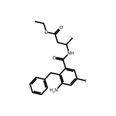 CCOC(=O)CC(C)NC(=O)c1cc(I)cc(N)c1Cc1ccccc1